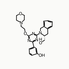 OC[C@H]1Cc2ccccc2CN1c1nc(OCCN2CCOCC2)nc(-c2cccc(O)c2)n1